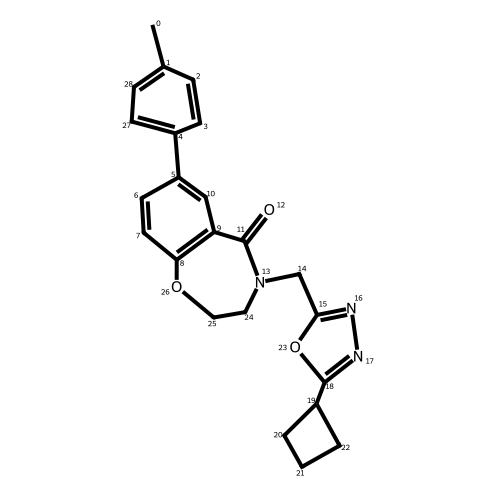 Cc1ccc(-c2ccc3c(c2)C(=O)N(Cc2nnc(C4CCC4)o2)CCO3)cc1